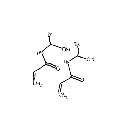 C=CC(=O)NC(O)CC.C=CC(=O)NC(O)CC